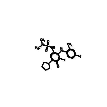 Cc1cc(I)ccc1Nc1c(NS(=O)(=O)N(C)C)cn(C2CCCC2)c(=O)c1F